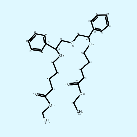 CCOC(=O)CCCCOC(COCC(OCCCCC(=O)OCC)c1ccccc1)c1ccccc1